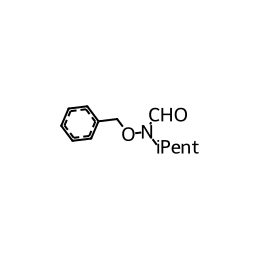 CCCC(C)N(C=O)OCc1ccccc1